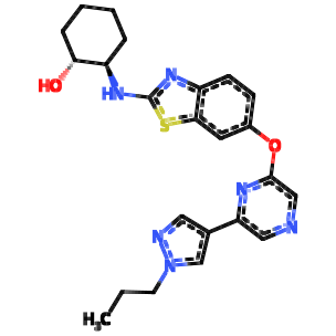 CCCn1cc(-c2cncc(Oc3ccc4nc(N[C@@H]5CCCC[C@H]5O)sc4c3)n2)cn1